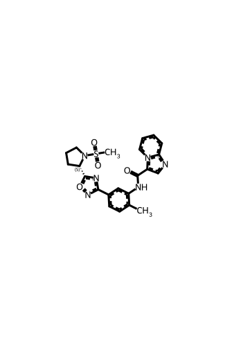 Cc1ccc(-c2noc([C@@H]3CCCN3S(C)(=O)=O)n2)cc1NC(=O)c1cnc2ccccn12